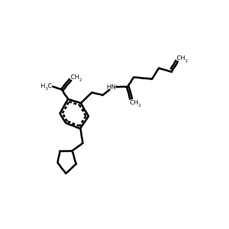 C=CCCCC(=C)NCCc1cc(CC2CCCC2)ccc1C(=C)C